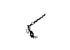 CCCCCCCCCCOCCCC(C)COC(=O)c1ccc(O)cc1